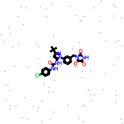 CC(C)(C)c1cc(NC(=O)Nc2ccc(Cl)cc2)n(-c2cccc(CN3C(=O)NC(=O)C3=O)c2)n1